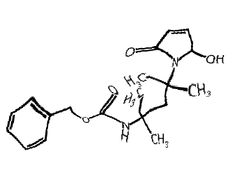 CC(C)(CC(C)(C)N1C(=O)C=CC1O)NC(=O)OCc1ccccc1